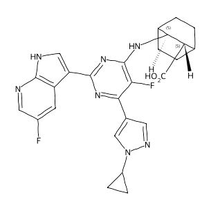 O=C(O)[C@H]1C2CCC(CC2)[C@@H]1Nc1nc(-c2c[nH]c3ncc(F)cc23)nc(-c2cnn(C3CC3)c2)c1F